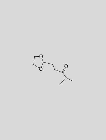 CC(C)C(=O)CCC1OCCO1